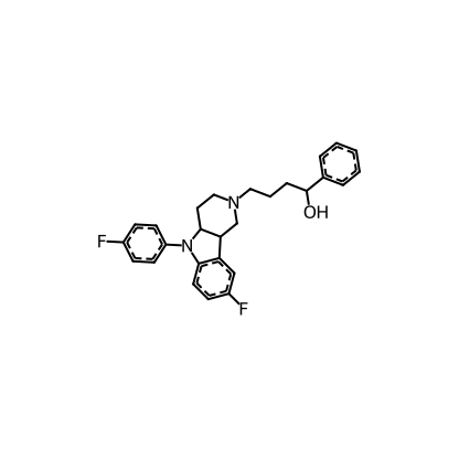 OC(CCCN1CCC2C(C1)c1cc(F)ccc1N2c1ccc(F)cc1)c1ccccc1